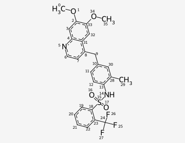 COc1cc2nccc(Cc3ccc(NS(=O)(=O)c4ccccc4C(F)(F)F)c(C)c3)c2cc1OC